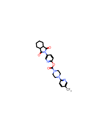 O=C(Oc1ccc(N2C(=O)C3CCCCC3C2=O)cn1)N1CCN(c2ccc(C(F)(F)F)cn2)CC1